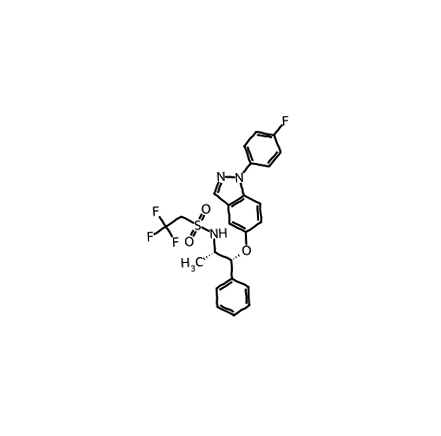 C[C@H](NS(=O)(=O)CC(F)(F)F)[C@H](Oc1ccc2c(cnn2-c2ccc(F)cc2)c1)c1ccccc1